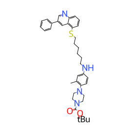 Cc1cc(NCCCCCCSc2cccc3ncc(-c4ccccc4)cc23)ccc1N1CCN(C(=O)OC(C)(C)C)CC1